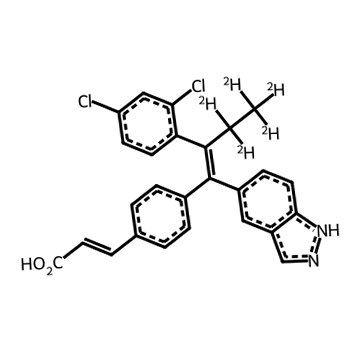 [2H]C([2H])([2H])C([2H])([2H])C(=C(c1ccc(C=CC(=O)O)cc1)c1ccc2[nH]ncc2c1)c1ccc(Cl)cc1Cl